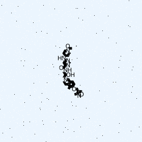 CC(=O)N1CCC(Nc2cc(C(=O)NC[C@H](O)CN3CCc4c(ccc(OCc5conc5C)c4C)C3)ncn2)CC1